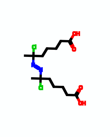 CC(Cl)(CCCCC(=O)O)N=NC(C)(Cl)CCCCC(=O)O